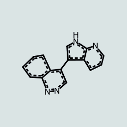 c1ccc2c(-c3c[nH]c4ncccc34)cnnc2c1